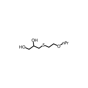 CCCOCCSCC(O)CO